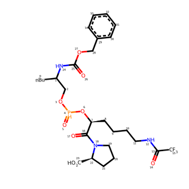 CCCCC(CO[PH](=O)O[C@@H](CCCCNC(=O)C(F)(F)F)C(=O)N1CCC[C@H]1C(=O)O)NC(=O)OCc1ccccc1